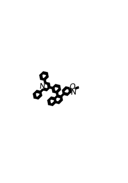 Cc1nc2cc(-c3ccc4ccccc4c3-c3cccc(-c4cc(-c5ccccc5)nc(-c5ccccc5)c4)c3)ccc2o1